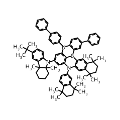 CC(C)(C)c1ccc2c(c1)C1(C)CCCCC1(C)N2c1cc2c3c(c1)N(c1ccc4c(c1)C(C)(C)CCC4(C)C)c1cc4c(cc1B3c1cc(-c3ccccc3)ccc1N2c1ccc(-c2ccccc2)cc1)C(C)(C)CCC4(C)C